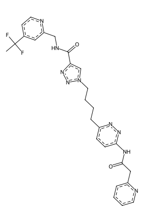 CC(F)(F)c1ccnc(CNC(=O)c2cn(CCCCc3ccc(NC(=O)Cc4ccccn4)nn3)nn2)c1